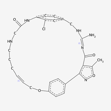 Cc1onc2c1C(=O)/N=C(\N)NCc1ccc(c(Cl)c1)NC(=O)CNCCC/C=C\COc1ccc-2cc1